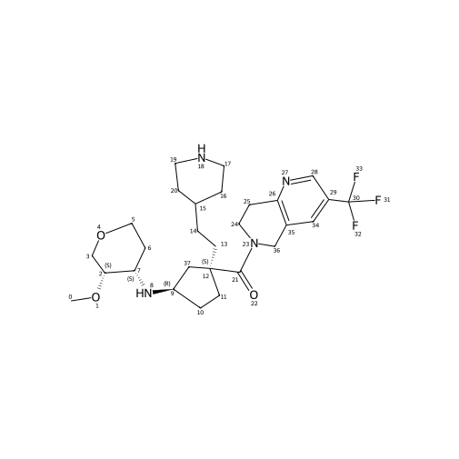 CO[C@@H]1COCC[C@@H]1N[C@@H]1CC[C@](CCC2CCNCC2)(C(=O)N2CCc3ncc(C(F)(F)F)cc3C2)C1